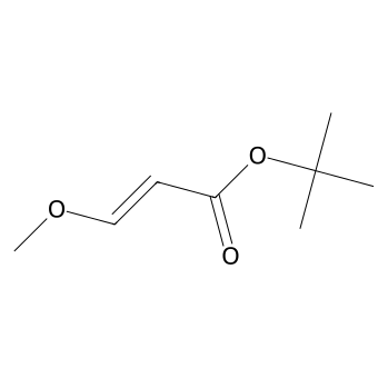 COC=CC(=O)OC(C)(C)C